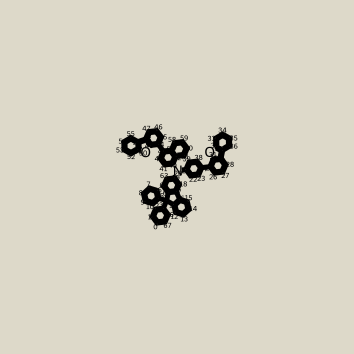 c1ccc(C2(c3ccccc3)c3ccccc3-c3cc(N(c4ccc(-c5cccc6c5oc5ccccc56)cc4)c4ccc(-c5cccc6c5oc5ccccc56)c5ccccc45)ccc32)cc1